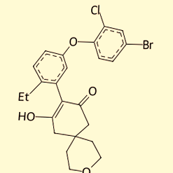 CCc1ccc(Oc2ccc(Br)cc2Cl)cc1C1=C(O)CC2(CCOCC2)CC1=O